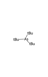 CC(C)(C)[As](C(C)(C)C)C(C)(C)C